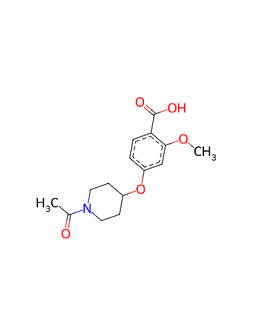 COc1cc(OC2CCN(C(C)=O)CC2)ccc1C(=O)O